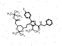 CC(C)c1c(C(=O)NCc2ccccc2)nc(-c2ccc(F)cc2)n1CC[C@@H]1C[C@H](CC(=O)OC(C)(C)C)OC(C)(C)O1